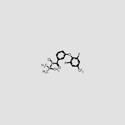 C[N+](C)(C)N(Cl)C(=O)c1cccc(Oc2c(F)cc(C(F)(F)F)cc2F)c1